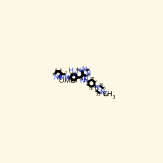 COc1ncccc1CNc1ccc(-c2nn(C3CCC(N4CCN(C)CC4)CC3)c3ncnc(N)c23)cc1